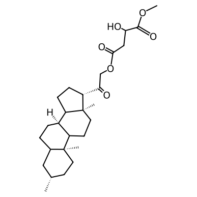 COC(=O)C(O)CC(=O)OCC(=O)[C@H]1CCC2[C@@H]3CCC4C[C@@H](C)CC[C@]4(C)C3CC[C@@]21C